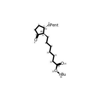 CCCCC[C@H]1CCC(=O)[C@@H]1CCCCCCC(=O)OCCCC